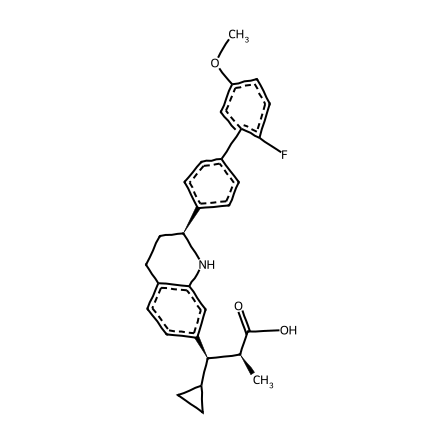 COc1ccc(F)c(-c2ccc([C@@H]3CCc4ccc([C@H](C5CC5)[C@H](C)C(=O)O)cc4N3)cc2)c1